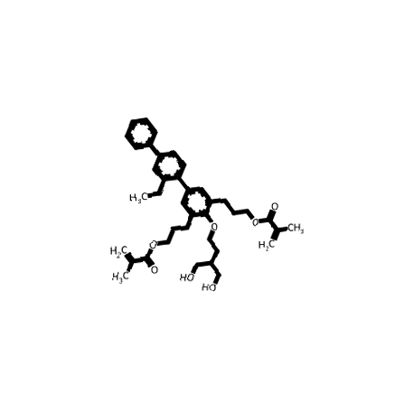 C=C(C)C(=O)OCCCc1cc(-c2ccc(-c3ccccc3)cc2CC)cc(CCCOC(=O)C(=C)C)c1OCCC(CO)CO